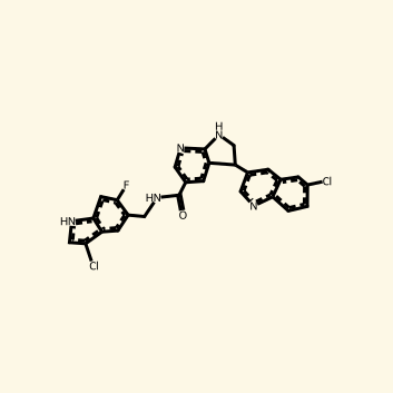 O=C(NCc1cc2c(Cl)c[nH]c2cc1F)c1cnc2c(c1)C(c1cnc3ccc(Cl)cc3c1)CN2